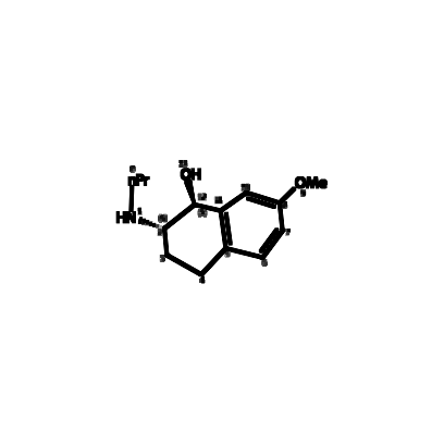 CCCN[C@H]1CCc2ccc(OC)cc2[C@@H]1O